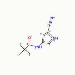 CC(C)(C)C(=O)Nc1c[nH]c(C#N)c1